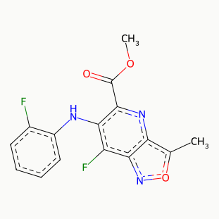 COC(=O)c1nc2c(C)onc2c(F)c1Nc1ccccc1F